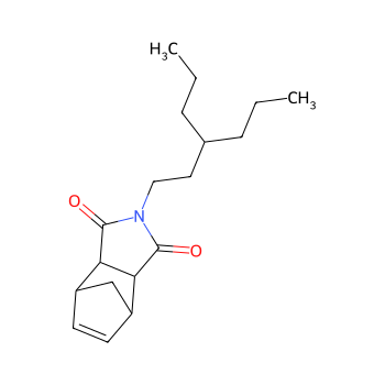 CCCC(CCC)CCN1C(=O)C2C3C=CC(C3)C2C1=O